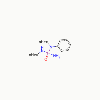 CCCCCCNP(N)(=O)N(CCCCCC)c1ccccc1